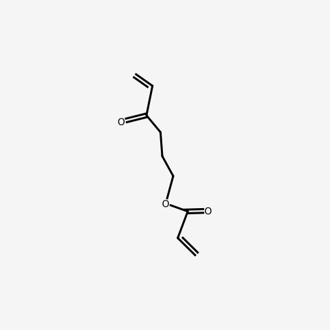 C=CC(=O)CCCOC(=O)C=C